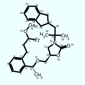 CCC(CCc1ccccc1[C@@H](C)OC[C@H]1CN(C(C)(C)CC2Cc3ccccc3C2)C(=O)O1)OOC(C)=O